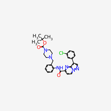 CC(C)(C)OC(=O)N1CCN(Cc2ccccc2NC(=O)c2ccn3ncc(-c4cccc(Cl)c4)c3n2)CC1